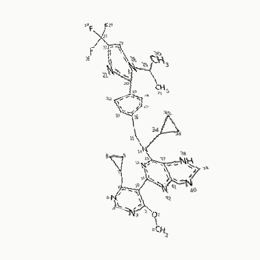 COc1ncnc(C2CC2)c1-c1nc(N(Cc2ccc(-c3nc(C(F)(F)F)cn3C(C)C)cc2)C2CC2)c2[nH]cnc2n1